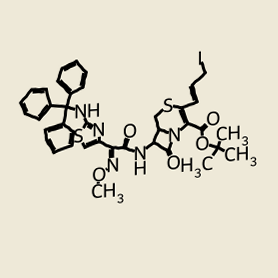 CON=C(C(=O)NC1C(=O)N2C(C(=O)OC(C)(C)C)=C(C=CCI)SCC12)c1csc(NC(c2ccccc2)(c2ccccc2)c2ccccc2)n1